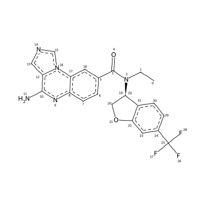 CCN(C(=O)c1ccc2nc(N)c3cncn3c2c1)[C@@H]1COc2cc(C(F)(F)F)ccc21